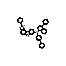 c1ccc(-c2ccc(N(c3ccc4c(c3)oc3ccc5nc(-c6ccccc6)oc5c34)c3ccc(-c4ccccc4)c4ccccc34)cc2)cc1